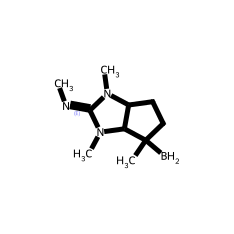 BC1(C)CCC2C1N(C)/C(=N/C)N2C